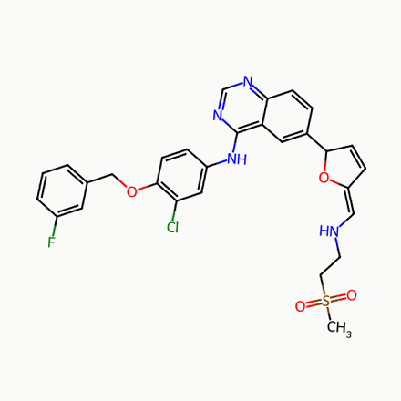 CS(=O)(=O)CCNC=C1C=CC(c2ccc3ncnc(Nc4ccc(OCc5cccc(F)c5)c(Cl)c4)c3c2)O1